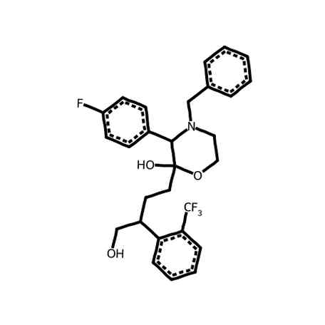 OCC(CCC1(O)OCCN(Cc2ccccc2)C1c1ccc(F)cc1)c1ccccc1C(F)(F)F